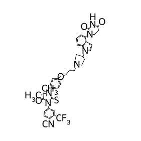 CC1(C)C(=O)N(c2ccc(C#N)c(C(F)(F)F)c2)C(=S)N1c1ccc(OCCCN2CCC(n3ccc4c(N5CCC(=O)NC5=O)cccc43)CC2)cc1